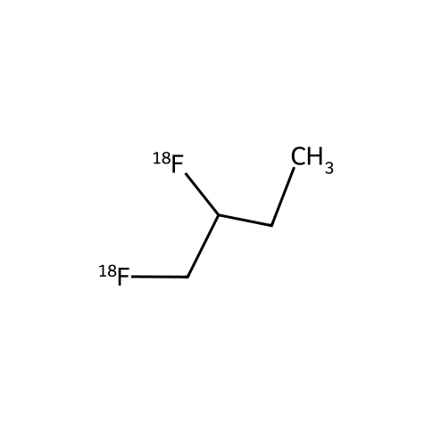 CCC([18F])C[18F]